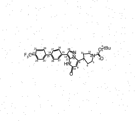 CC(C)(C)OC(=O)N1CCC(c2cc(=O)[nH]c3c(-c4ccc(-c5ccc(C(F)(F)F)cc5)cc4)cnn23)CC1